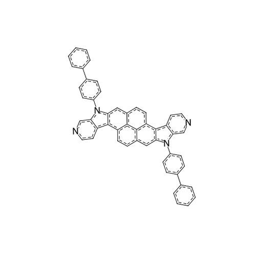 c1ccc(-c2ccc(-n3c4cnccc4c4c5ccc6cc7c(c8ccc(cc43)c5c68)c3ccncc3n7-c3ccc(-c4ccccc4)cc3)cc2)cc1